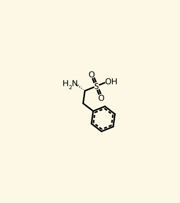 N[C@@H](Cc1ccccc1)S(=O)(=O)O